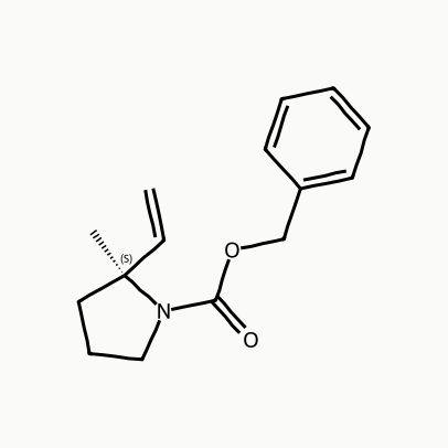 C=C[C@]1(C)CCCN1C(=O)OCc1ccccc1